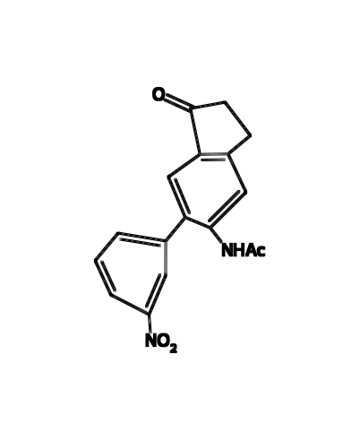 CC(=O)Nc1cc2c(cc1-c1cccc([N+](=O)[O-])c1)C(=O)CC2